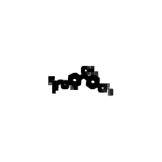 CC(c1ccc(C(F)(F)F)cc1)c1ccc(OCC(F)F)nc1